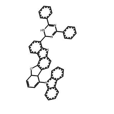 C1=CC2Oc3c(ccc4sc5c(C6N=C(c7ccccc7)N=C(c7ccccc7)N6)cccc5c34)C2C(n2c3ccccc3c3ccccc32)=C1